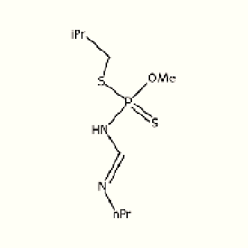 CCC/N=C/NP(=S)(OC)SCC(C)C